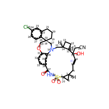 C[C@@]12C[C@H]1C/C=C/[C@@](O)(CC#N)[C@@H]1CC[C@H]1CN1C[C@@]3(CCCc4cc(Cl)ccc43)COc3ccc(cc31)C(=O)NS2(=O)=O